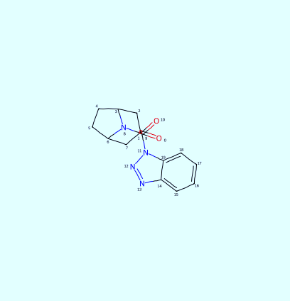 O=C1CC2CCC(C1)N2C(=O)n1nnc2ccccc21